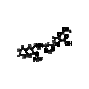 CCOc1cc(-c2cc(NCCc3cc4ccccc4cc3OC(F)F)ncn2)sc1C(=O)O